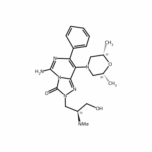 CN[C@H](CO)Cn1nc2c(N3C[C@@H](C)O[C@@H](C)C3)c(-c3ccccc3)nc(N)n2c1=O